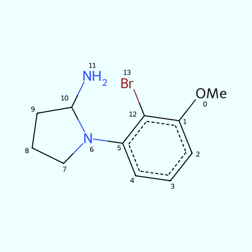 COc1cccc(N2CCCC2N)c1Br